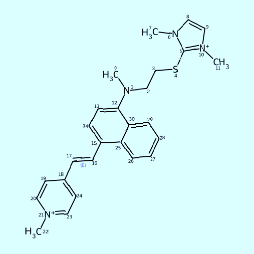 CN(CCSc1n(C)cc[n+]1C)c1ccc(/C=C/c2cc[n+](C)cc2)c2ccccc12